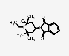 CCP1C(C)(C)CC(N2C(=O)c3ccccc3C2=O)CC1(C)C